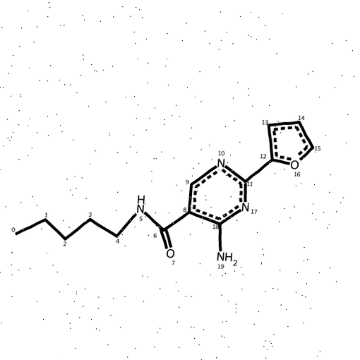 CCCCCNC(=O)c1cnc(-c2ccco2)nc1N